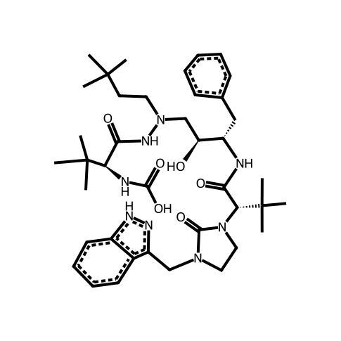 CC(C)(C)CCN(C[C@H](O)[C@H](Cc1ccccc1)NC(=O)[C@@H](N1CCN(Cc2n[nH]c3ccccc23)C1=O)C(C)(C)C)NC(=O)[C@@H](NC(=O)O)C(C)(C)C